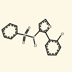 O=S(=O)(c1ccccc1)N(Cl)c1ccsc1-c1ccccc1Cl